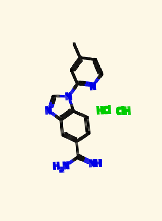 Cc1ccnc(-n2cnc3cc(C(=N)N)ccc32)c1.Cl.Cl